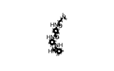 CN(C)CC=CC(=O)Nc1ccc(C(=O)Nc2cccc(Nc3n[nH]c4ccccc34)c2)cc1